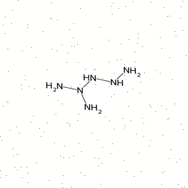 NNNN(N)N